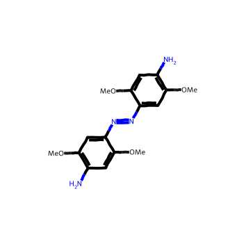 COc1cc(N=Nc2cc(OC)c(N)cc2OC)c(OC)cc1N